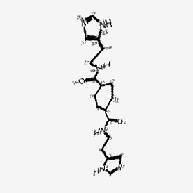 O=C(NCCc1cnc[nH]1)C1CCC(C(=O)NCCc2cnc[nH]2)CC1